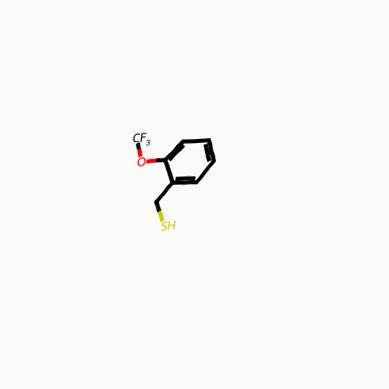 FC(F)(F)Oc1ccccc1CS